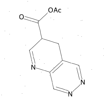 CC(=O)OC(=O)C1C=Nc2cnncc2C1